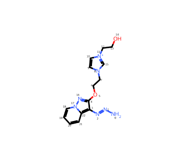 NN=Nc1c(OCCn2cc[n+](CCO)c2)nn2ccccc12